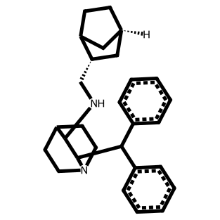 c1ccc(C(c2ccccc2)C2C(NC[C@H]3C[C@@H]4CCC3C4)C3CCN2CC3)cc1